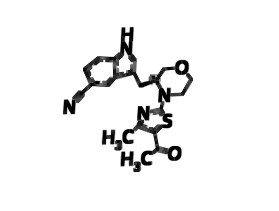 CC(=O)c1sc(N2CCOC[C@@H]2Cc2c[nH]c3ccc(C#N)cc23)nc1C